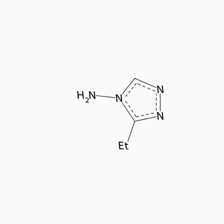 CCc1nncn1N